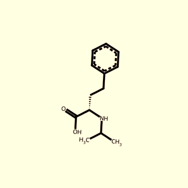 CC(C)N[C@@H](CCc1ccccc1)C(=O)O